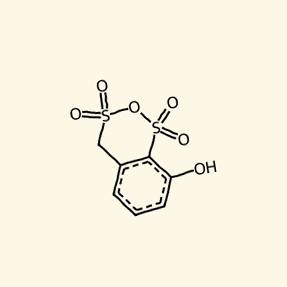 O=S1(=O)Cc2cccc(O)c2S(=O)(=O)O1